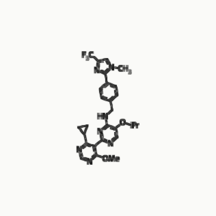 COc1ncnc(C2CC2)c1-c1ncc(OC(C)C)c(NCc2ccc(-c3nc(C(F)(F)F)cn3C)cc2)n1